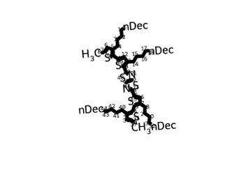 CCCCCCCCCCCCCCc1cc(C)sc1-c1cc(CCCCCCCCCCCCCC)c(-c2nc3sc(-c4cc(CCCCCCCCCCCCCC)c(-c5sc(C)cc5CCCCCCCCCCCCCC)s4)nc3s2)s1